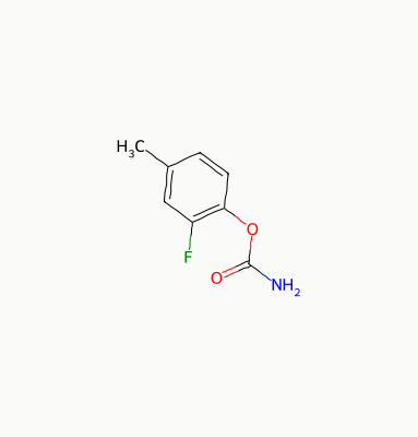 Cc1ccc(OC(N)=O)c(F)c1